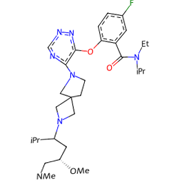 CCN(C(=O)c1cc(F)ccc1Oc1nncnc1N1CCC2(C1)CN(C(C[C@@H](CNC)OC)C(C)C)C2)C(C)C